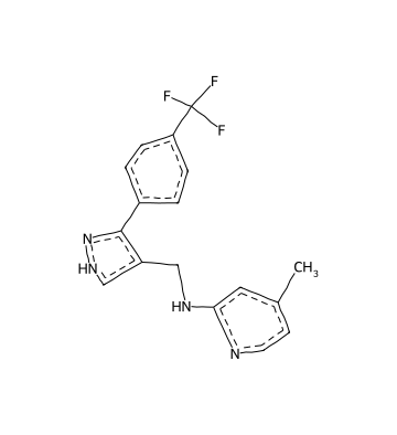 Cc1ccnc(NCc2c[nH]nc2-c2ccc(C(F)(F)F)cc2)c1